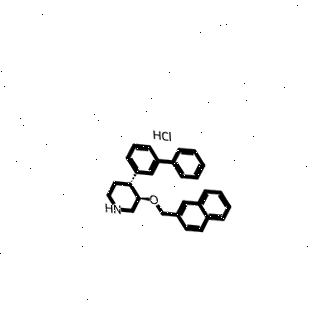 Cl.c1ccc(-c2cccc([C@H]3CCNC[C@@H]3OCc3ccc4ccccc4c3)c2)cc1